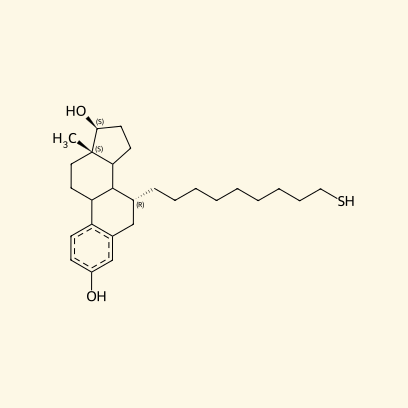 C[C@]12CCC3c4ccc(O)cc4C[C@@H](CCCCCCCCCS)C3C1CC[C@@H]2O